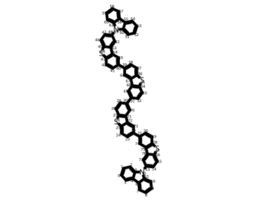 c1ccc2c(c1)c1ccccc1n2-c1ccc2sc3ccc(-c4ccc5sc6ccc(-c7ccc8sc9ccc(-c%10ccc%11sc%12ccc(-n%13c%14ccccc%14c%14ccccc%14%13)cc%12c%11c%10)cc9c8c7)cc6c5c4)cc3c2c1